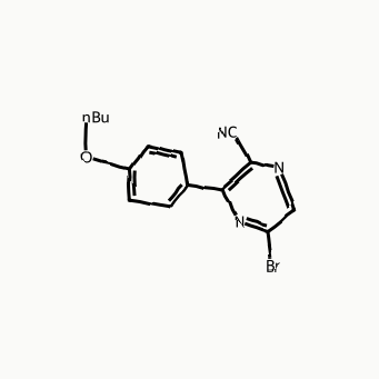 CCCCOc1ccc(-c2nc(Br)cnc2C#N)cc1